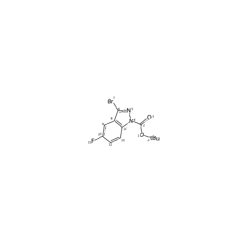 CC(C)(C)OC(=O)n1nc(Br)c2cc(F)ccc21